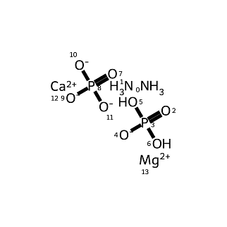 N.N.O=P([O-])(O)O.O=P([O-])([O-])[O-].[Ca+2].[Mg+2]